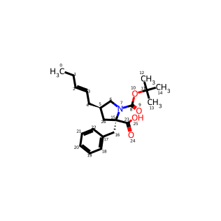 CCC=CC[C@H]1CN(C(=O)OC(C)(C)C)[C@@](Cc2ccccc2)(C(=O)O)C1